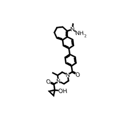 CC1CN(C(=O)c2ccc(-c3ccc4c(c3)=CCCCC=4N(C)N)cc2)CCN1C(=O)C1(O)CC1